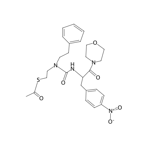 CC(=O)SCCN(CCc1ccccc1)C(=O)NC(Cc1ccc([N+](=O)[O-])cc1)C(=O)N1CCOCC1